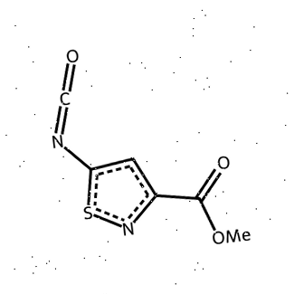 COC(=O)c1cc(N=C=O)sn1